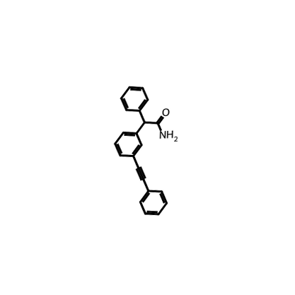 NC(=O)C(c1ccccc1)c1cccc(C#Cc2ccccc2)c1